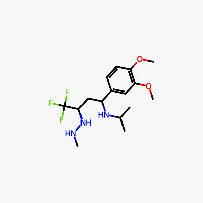 CNNC(CC(NC(C)C)c1ccc(OC)c(OC)c1)C(F)(F)F